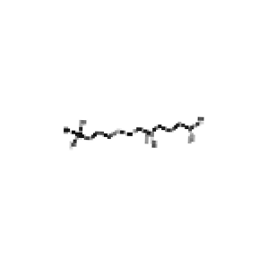 FC(F)CCC[SiH2]CCCCCC[Si](F)(F)F